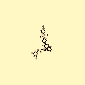 O=C(NC1CCNCC1)c1ccc(-c2cc(NCCCC3CCCNC3)c3ccccc3n2)cc1